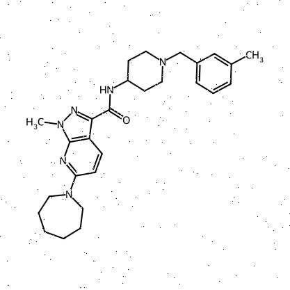 Cc1cccc(CN2CCC(NC(=O)c3nn(C)c4nc(N5CCCCCC5)ccc34)CC2)c1